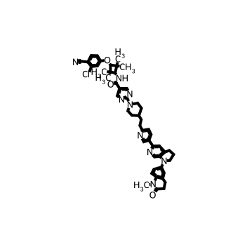 CN1C(=O)CCc2cc(N3CCCc4cc(-c5ccc(CCC6CCN(c7ncc(C(=O)NC8C(C)(C)C(Oc9ccc(C#N)c(Cl)c9)C8(C)C)cn7)CC6)nc5)ncc43)ccc21